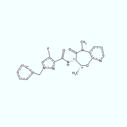 C[C@H]1Oc2ncccc2N(C)C(=O)[C@H]1NC(=O)c1nn(Cc2ccccc2)cc1F